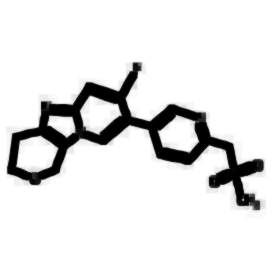 CS(=O)(=O)Cc1ccc(-c2cn3c4c(nc3cc2F)CCOC4)cn1